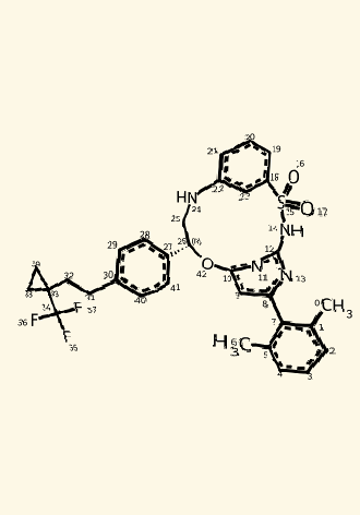 Cc1cccc(C)c1-c1cc2nc(n1)NS(=O)(=O)c1cccc(c1)NC[C@@H](c1ccc(CCC3(C(F)(F)F)CC3)cc1)O2